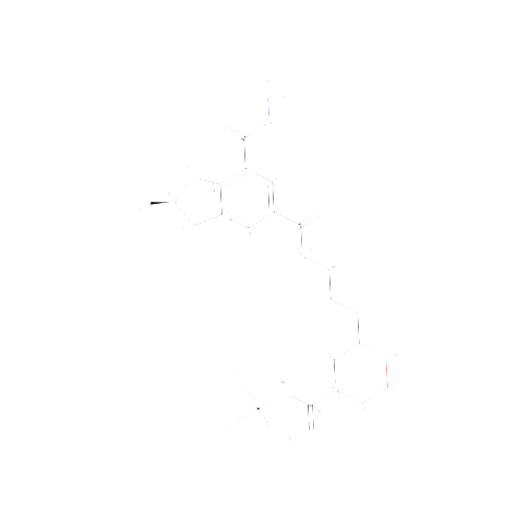 CNC(=O)c1cc(C(=O)NCCCC2CN(C(=O)OC(C)(C)C)CCO2)cc2c1O[C@H](C)[C@H]2C